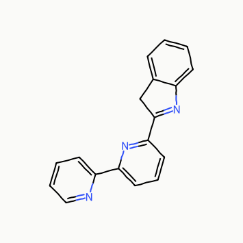 c1ccc(-c2cccc(C3=Nc4ccccc4C3)n2)nc1